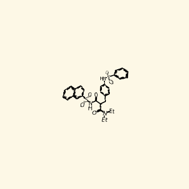 CCN(CC)C(=O)C(Cc1ccc(NS(=O)(=O)c2ccccc2)cc1)C(=O)NS(=O)(=O)c1ccc2ccccc2c1